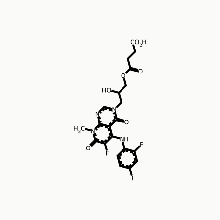 Cn1c(=O)c(F)c(Nc2ccc(I)cc2F)c2c(=O)n(CC(O)COC(=O)CCC(=O)O)cnc21